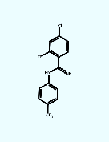 N=C(Nc1ccc(C(F)(F)F)cc1)c1ccc(Cl)cc1Cl